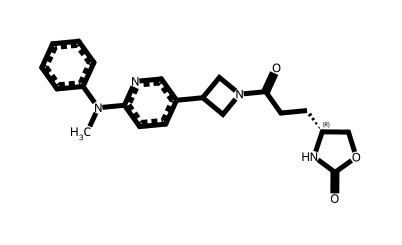 CN(c1ccccc1)c1ccc(C2CN(C(=O)CC[C@@H]3COC(=O)N3)C2)cn1